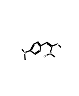 CSC(=Cc1ccc(N(C)C)cc1)[S+](C)[O-]